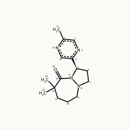 Cc1cnc([C@H]2CCN3CCCC(C)(C)C(=O)N23)cn1